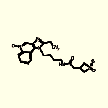 CCc1nc2c[n+]([O-])c3ccccc3c2n1CCCCNC(=O)CC1CS(=O)(=O)C1